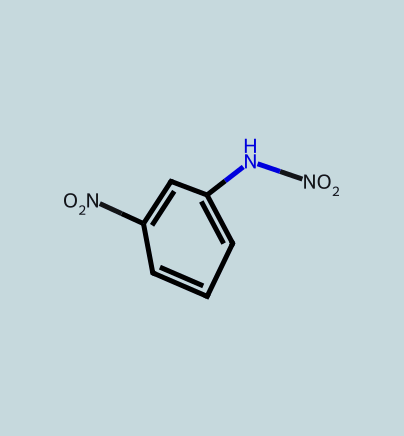 O=[N+]([O-])Nc1cccc([N+](=O)[O-])c1